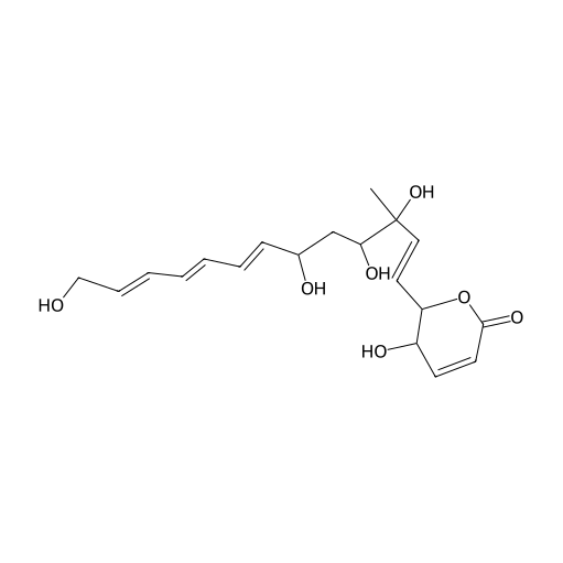 CC(O)(C=CC1OC(=O)C=CC1O)C(O)CC(O)C=CC=CC=CCO